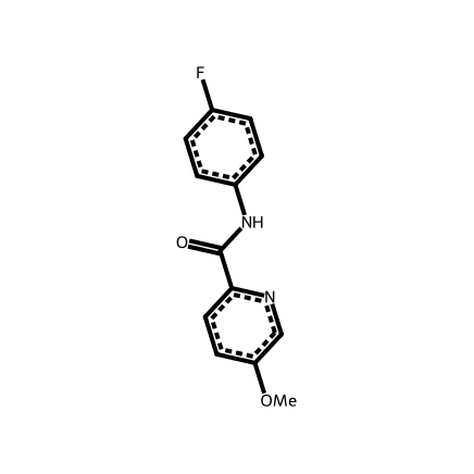 COc1ccc(C(=O)Nc2ccc(F)cc2)nc1